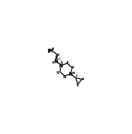 CC(C)/C=N/N1CCN(C2CC2)CC1